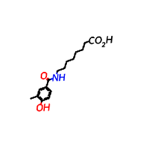 Cc1cc(C(=O)NCCCCCCCC(=O)O)ccc1O